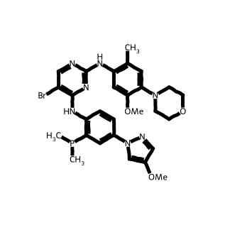 COc1cnn(-c2ccc(Nc3nc(Nc4cc(OC)c(N5CCOCC5)cc4C)ncc3Br)c(P(C)C)c2)c1